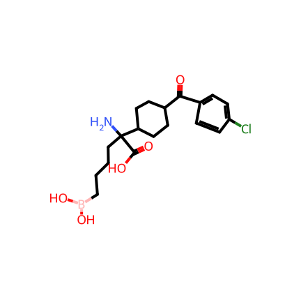 NC(CCCCB(O)O)(C(=O)O)C1CCC(C(=O)c2ccc(Cl)cc2)CC1